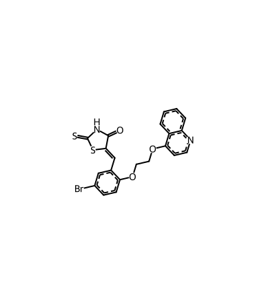 O=C1NC(=S)SC1=Cc1cc(Br)ccc1OCCOc1ccnc2ccccc12